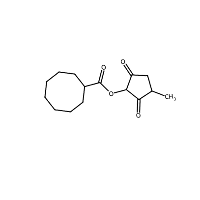 CC1CC(=O)C(OC(=O)C2CCCCCCC2)C1=O